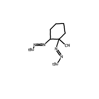 CC(C)(C)N=NC1CCCCC1(C#N)N=NC(C)(C)C